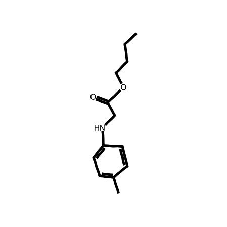 CCCCOC(=O)CNc1ccc(C)cc1